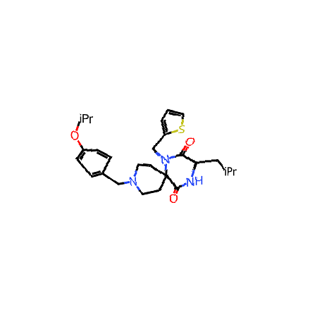 CC(C)CC1NC(=O)C2(CCN(Cc3ccc(OC(C)C)cc3)CC2)N(Cc2cccs2)C1=O